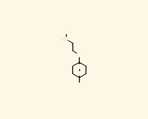 CNCCOC12CCC(C)(CC1)CC2